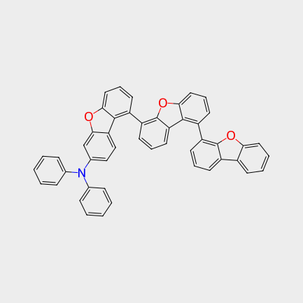 c1ccc(N(c2ccccc2)c2ccc3c(c2)oc2cccc(-c4cccc5c4oc4cccc(-c6cccc7c6oc6ccccc67)c45)c23)cc1